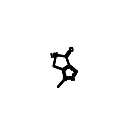 Cn1ncc2c1CNC2=O